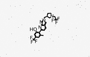 Cc1cc(C(F)(F)F)cc(O)c1-c1ccc2cn(CC3CCN(CC(F)(F)F)C3)nc2n1